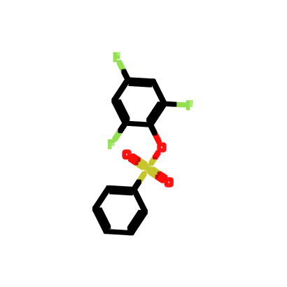 O=S(=O)(Oc1c(F)cc(F)cc1F)c1ccccc1